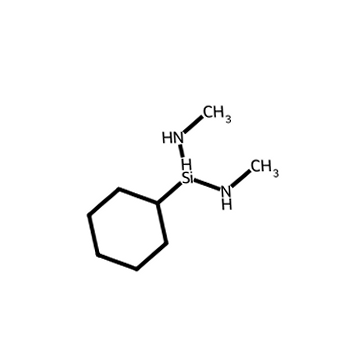 CN[SiH](NC)C1CCCCC1